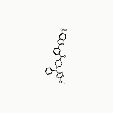 COc1ccc2nc(-c3cccc(C(=O)N4CCN([C@@H](c5ccccc5)c5nnc(C)o5)CC4)c3)sc2c1